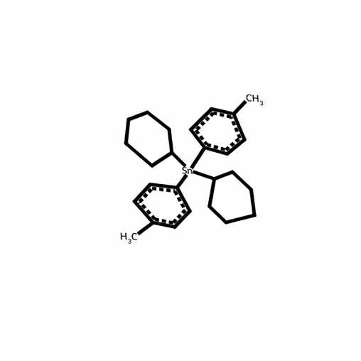 Cc1cc[c]([Sn]([c]2ccc(C)cc2)([CH]2CCCCC2)[CH]2CCCCC2)cc1